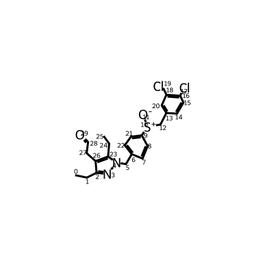 CCc1nn(Cc2ccc([S+]([O-])Cc3ccc(Cl)c(Cl)c3)cc2)c(CC)c1CC=O